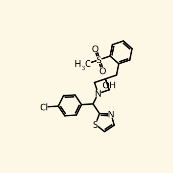 CS(=O)(=O)c1ccccc1CC1(O)CN(C(c2ccc(Cl)cc2)c2nccs2)C1